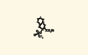 CCOC(=O)c1cc2ccccc2cc1OS(=O)(=O)C(F)(F)F